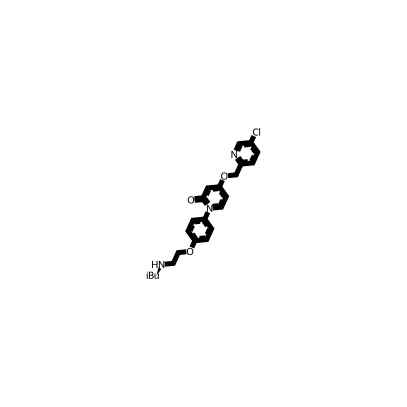 CC[C@H](C)NCCOc1ccc(-n2ccc(OCc3ccc(Cl)cn3)cc2=O)cc1